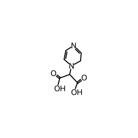 O=C(O)C(C(=O)O)N1C=CN=CC1